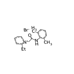 CCc1cccc[n+]1CC(=O)Nc1c(C)cccc1C.[Br-]